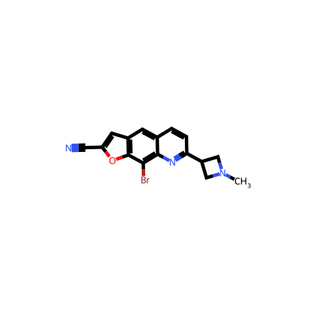 CN1CC(c2ccc3cc4cc(C#N)oc4c(Br)c3n2)C1